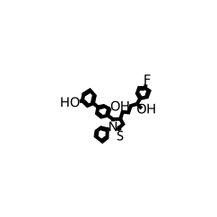 Oc1cccc(-c2ccc(C3C(CCCC(O)c4ccc(F)cc4)CC(=S)N3c3ccccc3)c(O)c2)c1